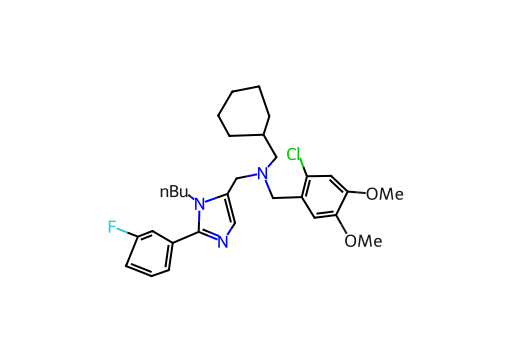 CCCCn1c(CN(Cc2cc(OC)c(OC)cc2Cl)CC2CCCCC2)cnc1-c1cccc(F)c1